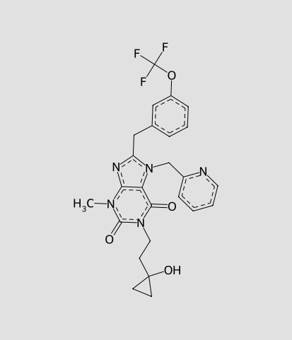 Cn1c(=O)n(CCC2(O)CC2)c(=O)c2c1nc(Cc1cccc(OC(F)(F)F)c1)n2Cc1ccccn1